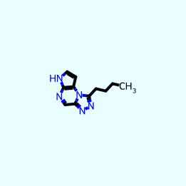 CCCCc1nnc2cnc3[nH]ccc3n12